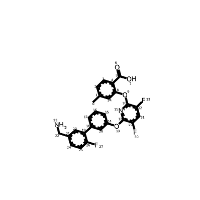 Cc1ccc(C(=O)O)c(Oc2nc(Oc3cccc(-c4cc(CN)ccc4F)c3)c(F)cc2F)c1